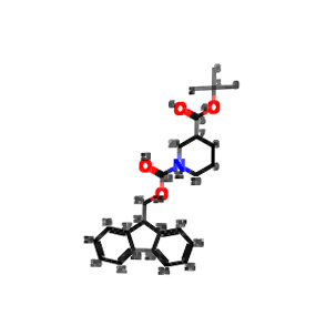 CC(C)(C)OC(=O)C1CCCN(C(=O)OCC2c3ccccc3-c3ccccc32)C1